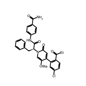 CCC(=O)c1ccc(Cl)cc1-c1cc(=O)n([C@@H](Cc2ccccc2)C(=O)Nc2ccc(C(N)=O)cc2)cc1OC